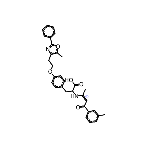 C/C(=C/C(=O)c1cccc(C)c1)NC(Cc1ccc(OCCc2nc(-c3ccccc3)oc2C)cc1)C(=O)O